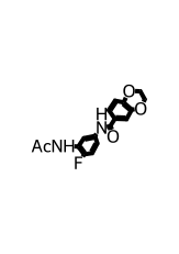 CC(=O)Nc1cc(NC(=O)c2ccc3c(c2)OCCO3)ccc1F